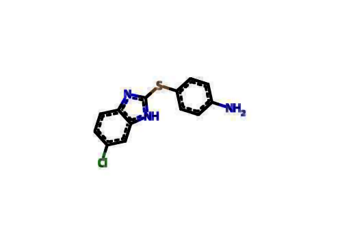 Nc1ccc(Sc2nc3ccc(Cl)cc3[nH]2)cc1